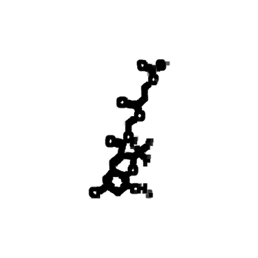 Cc1cc(Cl)cc2c1OC(C(F)(F)F)C(C(=O)OCOC(=O)CCO[N+](=O)[O-])=C2